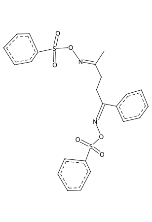 CC(CCC(=NOS(=O)(=O)c1ccccc1)c1ccccc1)=NOS(=O)(=O)c1ccccc1